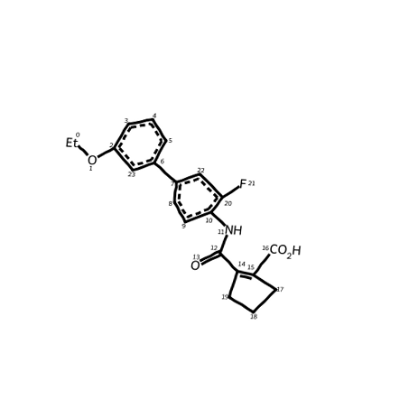 CCOc1cccc(-c2ccc(NC(=O)C3=C(C(=O)O)CCC3)c(F)c2)c1